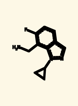 NCc1c(F)ccc2cnn(C3CC3)c12